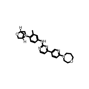 Cc1cc(Nc2nccc(-c3ccc(N4CCCOCC4)nc3)n2)ccc1N1C[C@@H]2C[C@H]1CO2